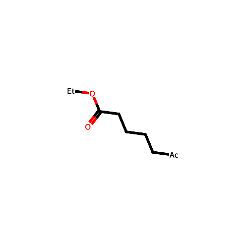 CCOC(=O)CCCCC(C)=O